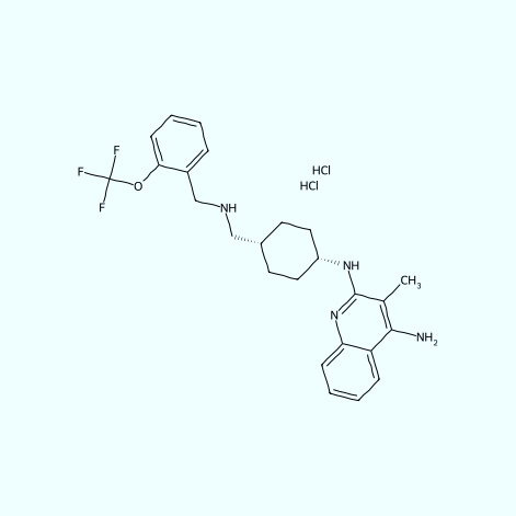 Cc1c(N[C@H]2CC[C@@H](CNCc3ccccc3OC(F)(F)F)CC2)nc2ccccc2c1N.Cl.Cl